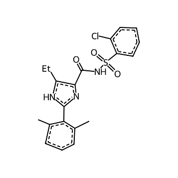 CCc1[nH]c(-c2c(C)cccc2C)nc1C(=O)NS(=O)(=O)c1ccccc1Cl